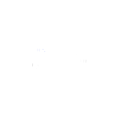 [CH2]Cc1cc(CC)sc1N